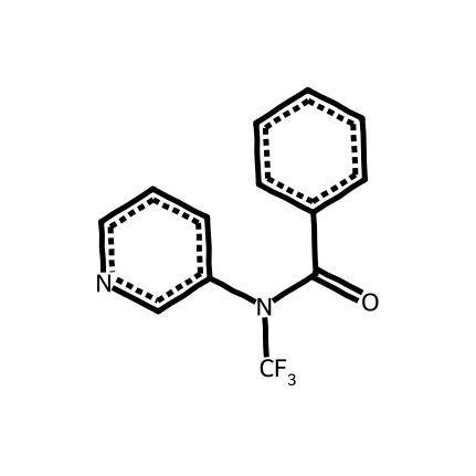 O=C(c1ccccc1)N(c1cccnc1)C(F)(F)F